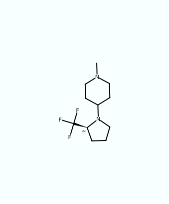 CN1CCC(N2CCC[C@H]2C(F)(F)F)CC1